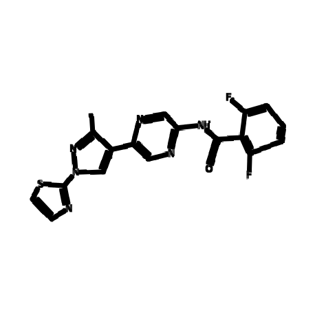 Cc1nn(-c2nccs2)cc1-c1cnc(NC(=O)c2c(F)cccc2F)cn1